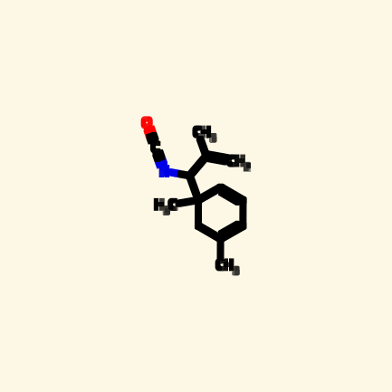 C=C(C)C(N=C=O)C1(C)C=CC=C(C)C1